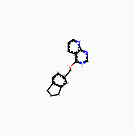 c1cnc2ncnc(OCc3ccc4c(c3)CCC4)c2c1